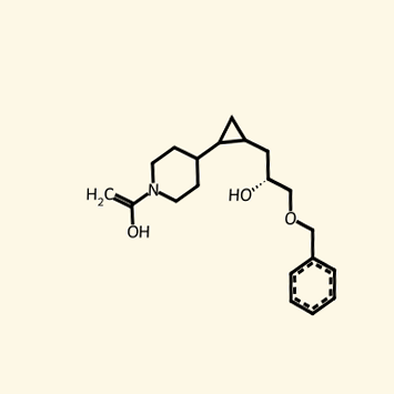 C=C(O)N1CCC(C2CC2C[C@@H](O)COCc2ccccc2)CC1